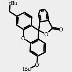 CC(C)(C)Cc1ccc2c(c1)Oc1cc(OC(C)(C)C)ccc1C21OC(=O)c2ccccc21